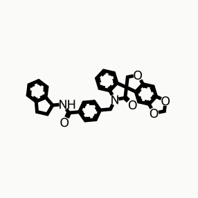 O=C(NC1CCc2ccccc21)c1ccc(CN2C(=O)C3(COc4cc5c(cc43)OCO5)c3ccccc32)cc1